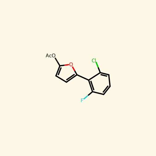 CC(=O)Oc1ccc(-c2c(F)cccc2Cl)o1